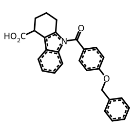 O=C(O)C1CCCc2c1c1ccccc1n2C(=O)c1ccc(OCc2ccccc2)cc1